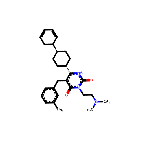 Cc1cccc(Cc2c(=O)n(CCN(C)C)c(=O)[nH]c2[C@H]2CC[C@H](C3C=CC=CC3)CC2)c1